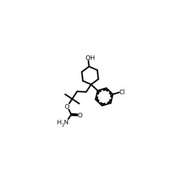 CC(C)(CCC1(c2cccc(Cl)c2)CCC(O)CC1)OC(N)=O